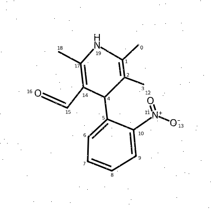 CC1=C(C)C(c2ccccc2[N+](=O)[O-])C(C=O)=C(C)N1